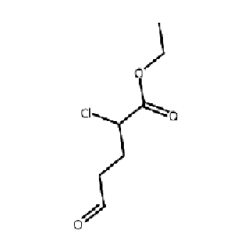 CCOC(=O)C(Cl)CCC=O